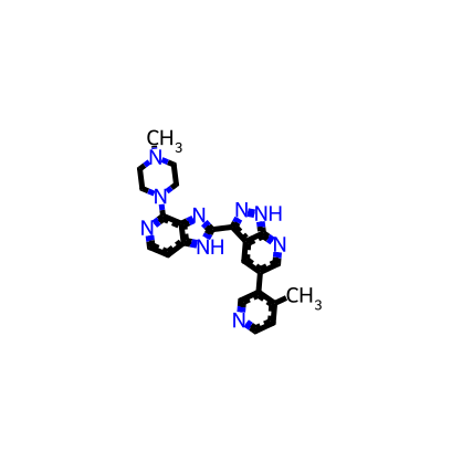 Cc1ccncc1-c1cnc2[nH]nc(-c3nc4c(N5CCN(C)CC5)nccc4[nH]3)c2c1